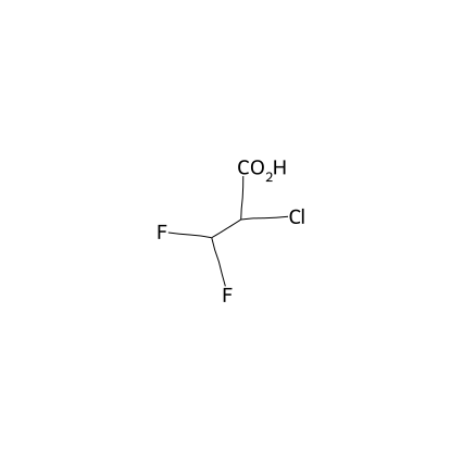 O=C(O)C(Cl)C(F)F